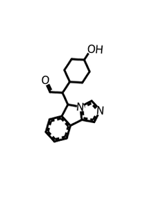 O=CC(C1CCC(O)CC1)C1c2ccccc2-c2cncn21